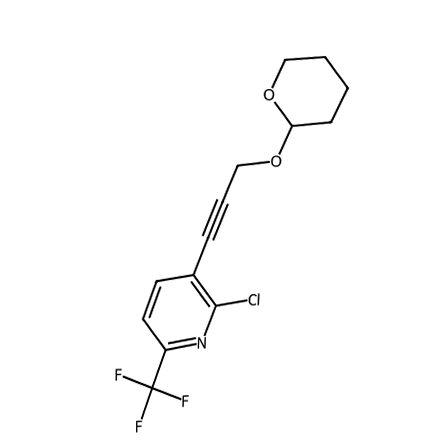 FC(F)(F)c1ccc(C#CCOC2CCCCO2)c(Cl)n1